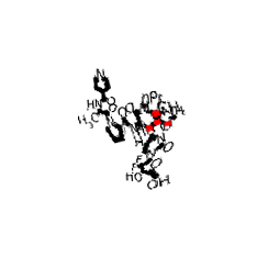 CCCN(C(=O)[C@H](Cc1c[nH]cn1)NC(=O)[C@@H]1CCCN1C(=O)[C@@H](C)NC(=O)c1ccncc1)[C@@H](C)C(=O)Nc1ccn(C2OC(CO)C(O)C2(F)F)c(=O)n1